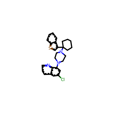 Clc1cc(N2CCN(C3(c4csc5ccccc45)CCCCC3)CC2)c2ncccc2c1